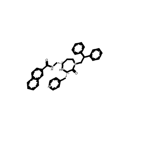 O=C(NC[C@@H]1CCN(CC(c2ccccc2)c2ccccc2)C(=O)[C@H](Cc2ccncc2)N1)c1ccc2ccccc2c1